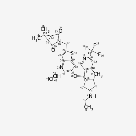 CCNC1CCN(C(=O)c2c(C)cc(C(F)(F)F)nc2-c2ccnc3cc(CN4C(=O)C5C(C4=O)C5(C)C)sc23)C1.Cl.Cl